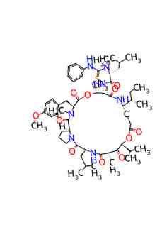 CC[C@H](C)[C@@H]1CCC(=O)O[C@@H](C(C)C)C(=O)[C@H](C)C(=O)N[C@@H](CC(C)C)C(=O)N2CCC[C@H]2C(=O)N(C)[C@@H](Cc2ccc(OC)cc2)C(=O)O[C@H](C)[C@H](NC(=O)[C@@H](CC(C)C)N(C)C(=S)Nc2ccccc2)C(=O)N1